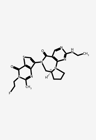 CCNc1ncc2c(n1)N1CCC[C@H]1CN(c1csc3c(=O)n(CCF)c(C)nc13)C2=O